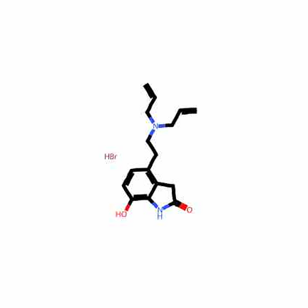 Br.C=CCN(CC=C)CCc1ccc(O)c2c1CC(=O)N2